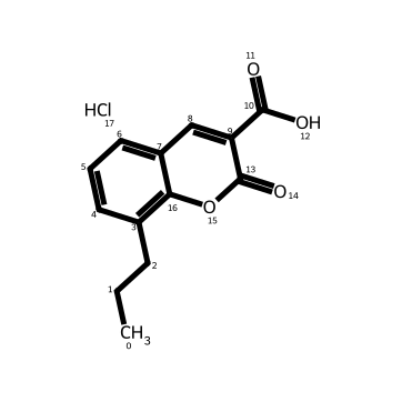 CCCc1cccc2cc(C(=O)O)c(=O)oc12.Cl